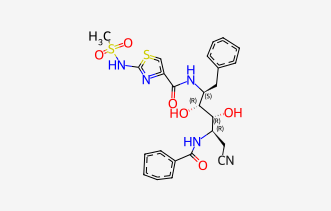 CS(=O)(=O)Nc1nc(C(=O)N[C@@H](Cc2ccccc2)[C@@H](O)[C@H](O)[C@@H](CC#N)NC(=O)c2ccccc2)cs1